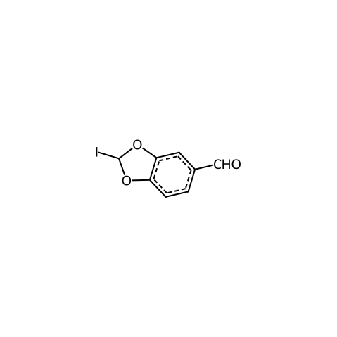 O=Cc1ccc2c(c1)OC(I)O2